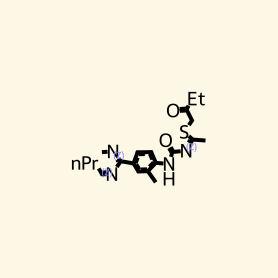 CCC/C=N\C(=N/C)c1ccc(NC(=O)/N=C(/C)SCC(=O)CC)c(C)c1